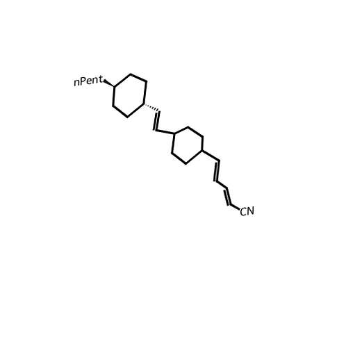 CCCCC[C@H]1CC[C@H](/C=C/C2CCC(C=CC=CC#N)CC2)CC1